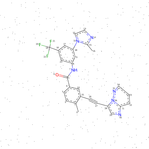 Cc1ccc(C(=O)Nc2cc(-n3ccnc3C)cc(C(F)(F)F)c2)cc1C#Cc1cnc2cccnn12